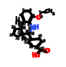 CCOc1cccc2c1N[C@@H](c1ccc(C(=O)O)cc1)[C@H]1CC=C[C@@H]21